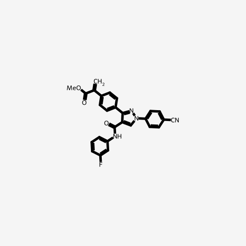 C=C(C(=O)OC)c1ccc(-c2nn(-c3ccc(C#N)cc3)cc2C(=O)Nc2cccc(F)c2)cc1